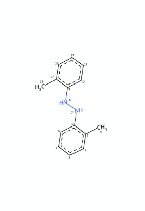 Cc1ccccc1NNc1ccccc1C